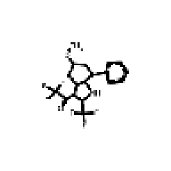 COC1CC(c2ccccc2)C2NC(C(F)(F)F)C(C(=O)C(F)(F)F)C2C1